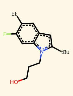 CCc1cc2cc(C(C)(C)C)n(CCCO)c2cc1F